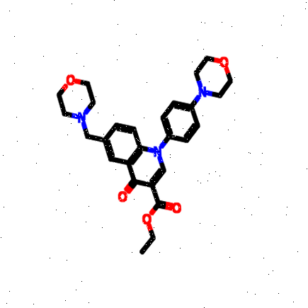 CCOC(=O)c1cn(-c2ccc(N3CCOCC3)cc2)c2ccc(CN3CCOCC3)cc2c1=O